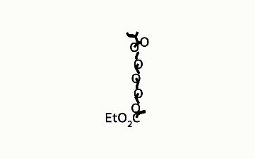 C=C(OCCOCCOCCOCCOC(=O)C(C)=CC)C(=O)OCC